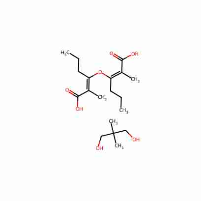 CC(C)(CO)CO.CCCC(OC(CCC)=C(C)C(=O)O)=C(C)C(=O)O